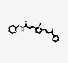 Cn1c(/C=C/C(=O)NOC2CCCCO2)ccc1/C=C/C(=O)c1cccs1